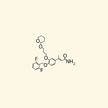 C/C(=C\C(N)=O)c1ccc(OCc2c(F)cccc2F)c(OCCCOC2CCCCO2)c1